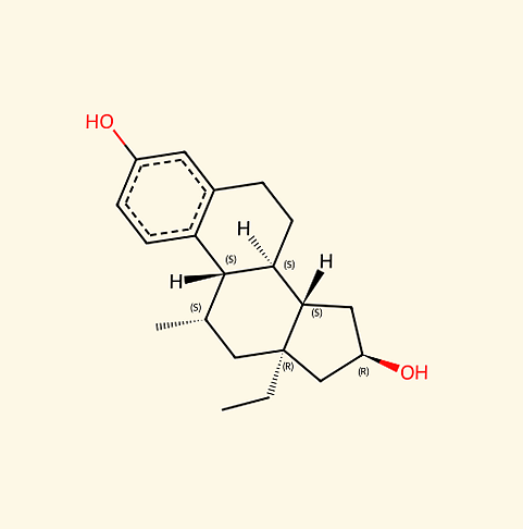 CC[C@@]12C[C@H](O)C[C@H]1[C@@H]1CCc3cc(O)ccc3[C@H]1[C@@H](C)C2